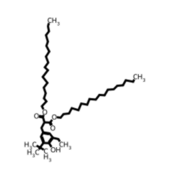 CCCCCCCCCCCCCCCCCCOC(=O)C(Cc1cc(CC)c(O)c(C(C)(C)C)c1)C(=O)OCCCCCCCCCCCCCCCCCC